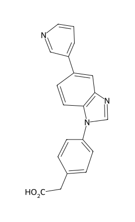 O=C(O)Cc1ccc(-n2cnc3cc(-c4cccnc4)ccc32)cc1